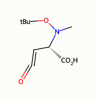 CN(OC(C)(C)C)[C@@H](C=C=O)C(=O)O